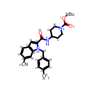 CC(C)(C)OC(=O)N1CCC(NC(=O)c2cc3ccc(C#N)cc3n2Cc2ccc(C(F)(F)F)cc2)CC1